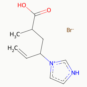 C=CC(CC(C)C(=O)O)[n+]1cc[nH]c1.[Br-]